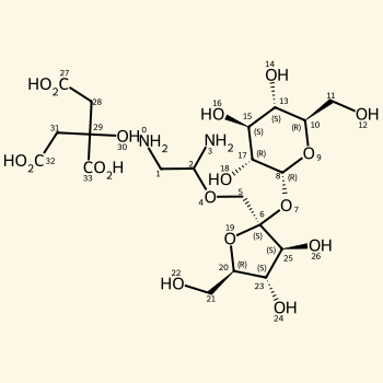 NCC(N)OC[C@@]1(O[C@H]2O[C@H](CO)[C@@H](O)[C@H](O)[C@H]2O)O[C@H](CO)[C@@H](O)[C@@H]1O.O=C(O)CC(O)(CC(=O)O)C(=O)O